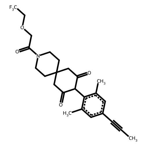 CC#Cc1cc(C)c(C2C(=O)CC3(CCN(C(=O)COCC(F)(F)F)CC3)CC2=O)c(C)c1